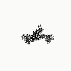 O=C(NS(=O)(=O)c1cnc(NCC2CCCCC2)c([N+](=O)[O-])c1)c1ccc(N2CCC3(CC2)CC(N2CCC[C@H]2c2ccccc2C2CC2)C3)cc1N1CCOc2nc3[nH]ccc3cc21